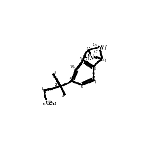 CC(C)(C)CC(C)(C)c1ccc2c(c1)C1NC2N1